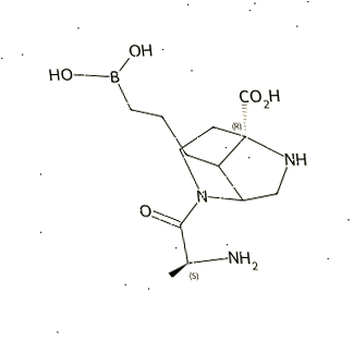 C[C@H](N)C(=O)N1CC[C@@]2(C(=O)O)NCC1C2CCCB(O)O